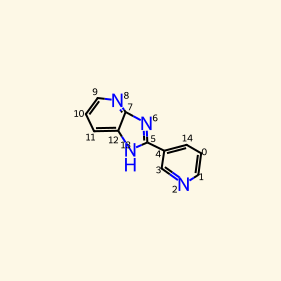 c1cncc(-c2nc3ncccc3[nH]2)c1